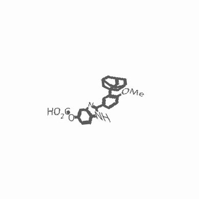 COc1ccc(-c2nc3cc(OC(=O)O)ccc3[nH]2)cc1C12CC3CC(CC(C3)C1)C2